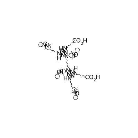 CC1(C)CC(CCCCNc2nc(NCCCCCC(=O)O)nc(N(CCCCCCN(c3nc(NCCCCCC(=O)O)nc(NCCCCC4CC(C)(C)N(OC5CCCCC5)C(C)(C)C4)n3)C3CC(C)(C)N(OC4CCCCC4)C(C)(C)C3)C3CC(C)(C)N(OC4CCCCC4)C(C)(C)C3)n2)CC(C)(C)N1OC1CCCCC1